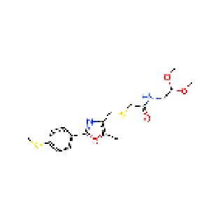 COC(CNC(=O)CSCc1nc(-c2ccc(SC)cc2)oc1C)OC